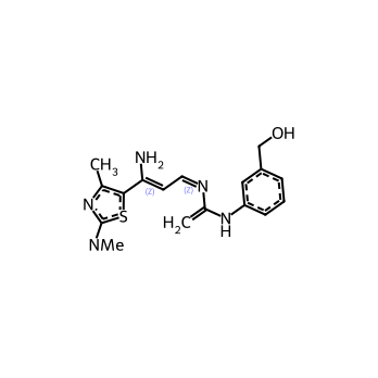 C=C(/N=C\C=C(/N)c1sc(NC)nc1C)Nc1cccc(CO)c1